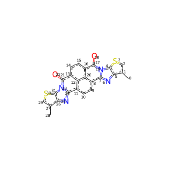 Cc1csc2c1nc1c3ccc4c5c(ccc(c(=O)n12)c35)c(=O)n1c4nc2c(C)csc21